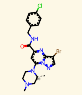 C[C@@H]1CN(C)CCN1c1cc(C(=O)NCc2ccc(Cl)cc2)nc2c(Br)cnn12